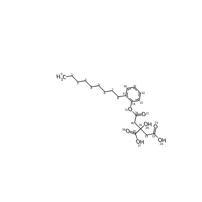 CCCCCCCCCc1ccccc1OC(=O)CC(O)(CC(=O)O)C(=O)O